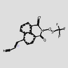 N#C/C=C/c1ccc2c3c(cccc13)C(=O)N(OSC(F)(F)F)C2=O